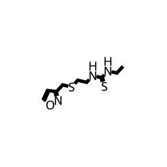 CCNC(=S)NCCSCc1ccon1